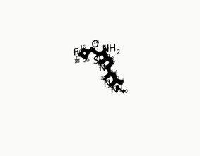 Cn1cc2cc(-c3ccc4c(N)c(C(=O)C5CC(F)(F)C5)sc4n3)cnc2n1